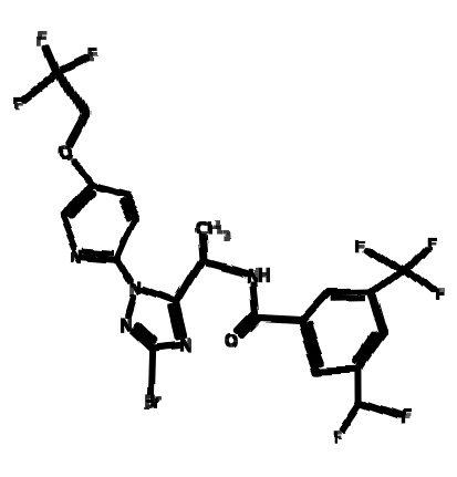 CC(NC(=O)c1cc(C(F)F)cc(C(F)(F)F)c1)c1nc(Br)nn1-c1ccc(OCC(F)(F)F)cn1